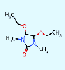 CCOC1C(OCC)N(C)C(=O)N1C